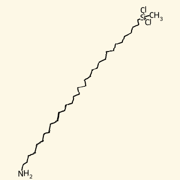 C[Si](Cl)(Cl)CCCCCCCCCCCCCCCCCCCCCCCCCCCCCCCCCN